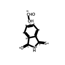 O=C1NC(=S)c2ccccc21.O=CO